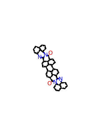 O=c1c2ccc3c4ccc5c6c(ccc(c7ccc(c2c37)c2nc3cccc7cccc(c73)n12)c46)c(=O)n1c2cccc3cccc(nc51)c32